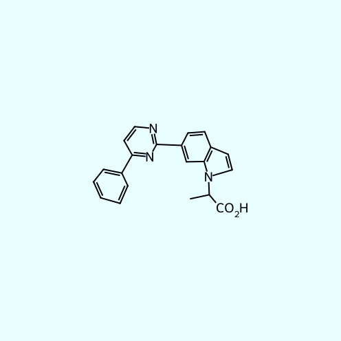 CC(C(=O)O)n1ccc2ccc(-c3nccc(-c4ccccc4)n3)cc21